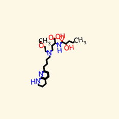 CCCC(O)C(=O)NC(CCN(CCCCc1ccc2c(n1)NCCC2)CCOC)C(=O)O